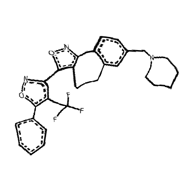 FC(F)(F)c1c(-c2onc3c2CCc2cc(CN4CCCCC4)ccc2-3)noc1-c1ccccc1